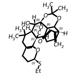 C=C1C(=O)[C@@]23C4OC(C)(C)O[C@]25OC[C@]2(C6=C(CC[C@H](SCC)O6)CC(C)(C)[C@H]2[C@@H]5O)[C@@H]3CC[C@@H]14